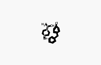 CCCN1CCN(N(C)C)CC1.Clc1ccc(Cc2ccccc2)cc1